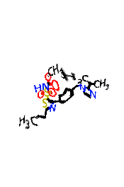 C=C(C)c1nccn1Cc1ccc(-c2nc(CCC)sc2S(=O)(=O)NC(=O)OC)cc1